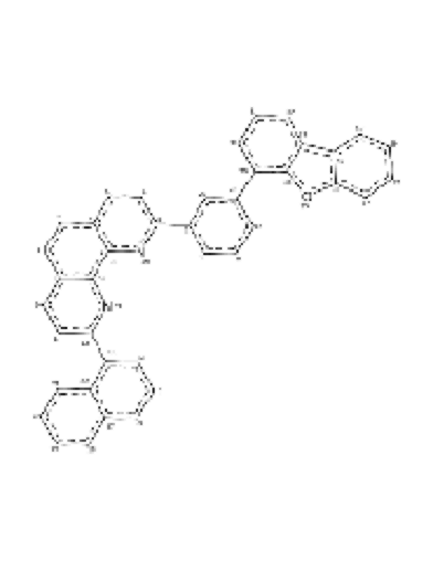 c1cc(-c2ccc3ccc4ccc(-c5cccc6ccccc56)nc4c3n2)cc(-c2cccc3c2oc2ccccc23)c1